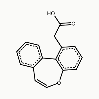 O=C(O)Cc1cccc2c1-c1ccccc1C=CO2